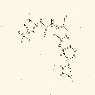 Cn1cc(-c2ccnc(Oc3ccc(F)c(NC(=O)Nc4cc(C(C)(C)C)nn4C)c3)n2)cn1